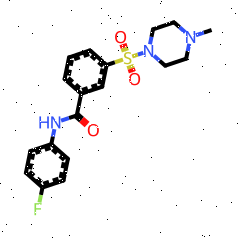 CN1CCN(S(=O)(=O)c2cccc(C(=O)Nc3ccc(F)cc3)c2)CC1